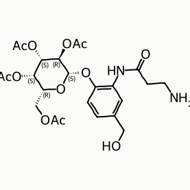 CC(=O)OC[C@H]1O[C@@H](Oc2ccc(CO)cc2NC(=O)CCN)[C@H](OC(C)=O)[C@@H](OC(C)=O)[C@H]1OC(C)=O